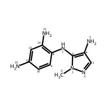 Cn1ncc(N)c1Nc1ccc(N)cc1N